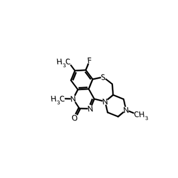 Cc1cc2c3c(nc(=O)n2C)N2CCN(C)CC2CSc3c1F